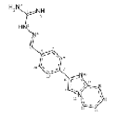 N=C(N)NN=Cc1ccc(-c2cn3ccccc3n2)cc1